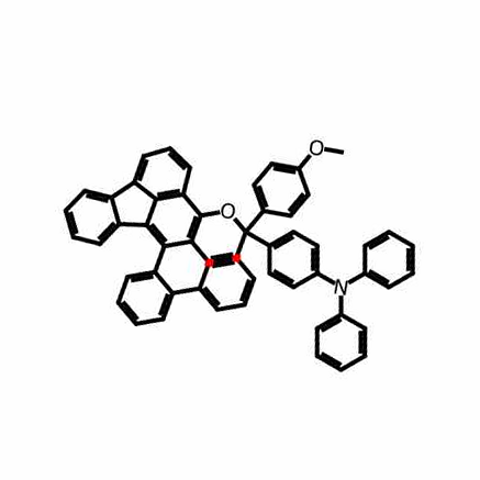 COc1ccc(C2(c3ccc(N(c4ccccc4)c4ccccc4)cc3)C=Cc3c(-c4ccccc4-c4ccccc4)c4c5c(cccc5c3O2)-c2ccccc2-4)cc1